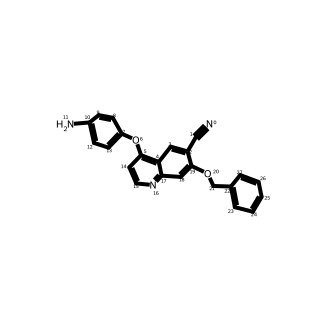 N#Cc1cc2c(Oc3ccc(N)cc3)ccnc2cc1OCc1ccccc1